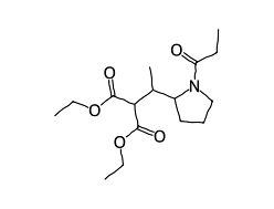 CCOC(=O)C(C(=O)OCC)C(C)C1CCCN1C(=O)CC